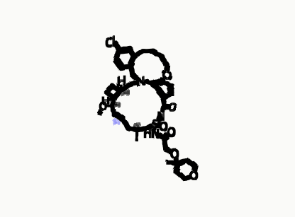 CO[C@H]1/C=C/C[C@H](C)C[S@@](=O)(NC(=O)COC2(C)CCOCC2)=NC(=O)c2ccc3c(c2)N(Cc2ccc(Cl)cc2CCCCO3)C[C@@H]2CC[C@H]21